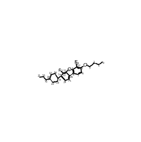 CCCCOc1ccc2c(oc3c(F)c(C4CCC(CCC)CC4)ccc32)c1F